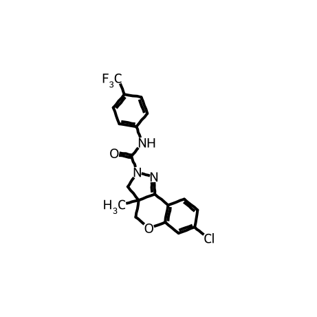 CC12COc3cc(Cl)ccc3C1=NN(C(=O)Nc1ccc(C(F)(F)F)cc1)C2